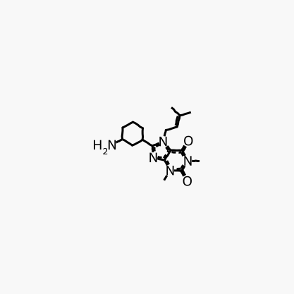 CC(C)=CCn1c(C2CCCC(N)C2)nc2c1c(=O)n(C)c(=O)n2C